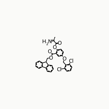 C[C@H](N)C(=O)Oc1ccc(OCc2c(Cl)cccc2Cl)cc1C(=O)OCC1c2ccccc2-c2ccccc21